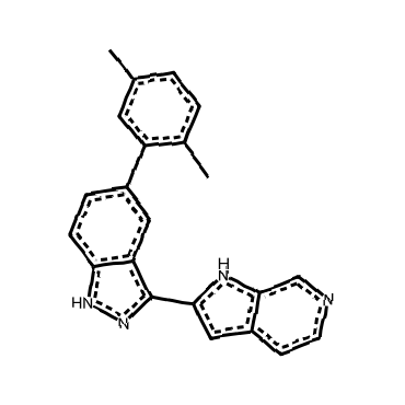 Cc1ccc(C)c(-c2ccc3[nH]nc(-c4cc5ccncc5[nH]4)c3c2)c1